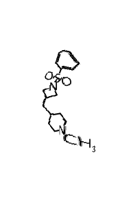 CN1CCC(CC2CN(S(=O)(=O)c3ccccc3)C2)CC1